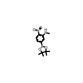 CNc1cc(B2OC(C)(C)C(C)(C)O2)ccc1[N+](=O)[O-]